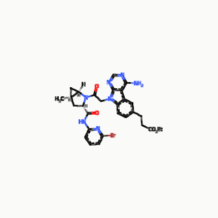 CCOC(=O)CCc1ccc2c(c1)c1c(N)ncnc1n2CC(=O)N1[C@H](C(=O)Nc2cccc(Br)n2)C[C@@]2(C)C[C@@H]12